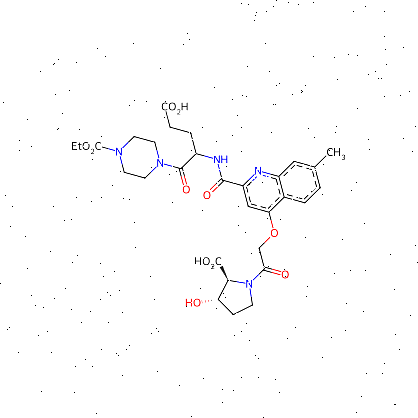 CCOC(=O)N1CCN(C(=O)C(CCC(=O)O)NC(=O)c2cc(OCC(=O)N3CC[C@H](O)[C@H]3C(=O)O)c3ccc(C)cc3n2)CC1